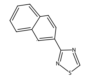 [c]1c(-c2ncsn2)ccc2ccccc12